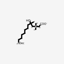 CCCCCCCCCCCCCCCCCC(C)(O)C[N+](C)(C)CC(=O)[O-]